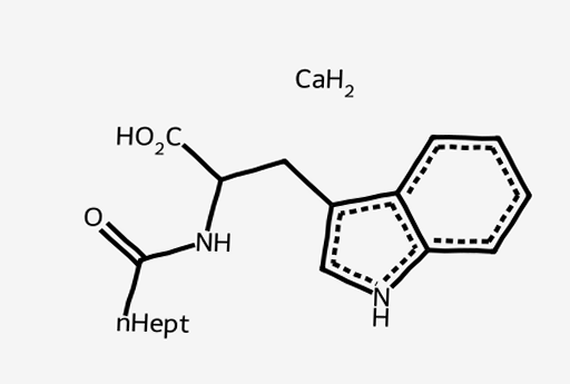 CCCCCCCC(=O)NC(Cc1c[nH]c2ccccc12)C(=O)O.[CaH2]